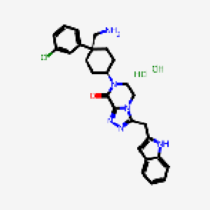 Cl.Cl.NC[C@]1(c2cccc(Cl)c2)CC[C@H](N2CCn3c(Cc4cc5ccccc5[nH]4)nnc3C2=O)CC1